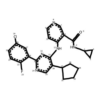 O=C(NC1CC1)c1cnccc1Nc1nc(-c2cc(Cl)ccc2F)ncc1C1CCCC1